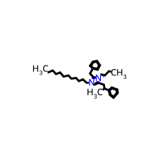 CCCCCCCCCCCCn1cc(CC(C)c2ccccc2)[n+](CCCC)c1Cc1ccccc1